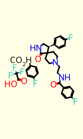 O=C(NCCN1CCC2(CC1)C(=O)NC[C@H]2c1ccc(F)cc1)c1ccc(F)cc1.O=C(O)C(F)(F)F.O=C(O)c1ccc(F)cc1